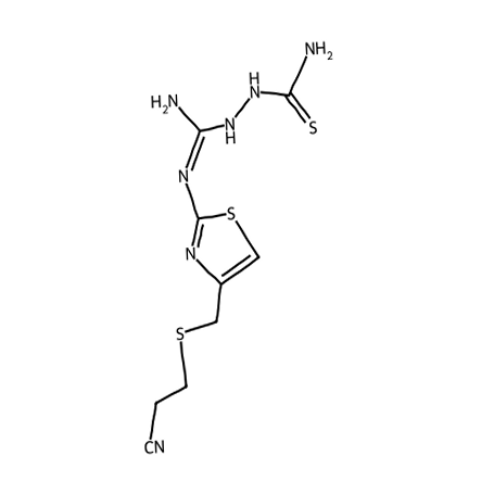 N#CCCSCc1csc(N=C(N)NNC(N)=S)n1